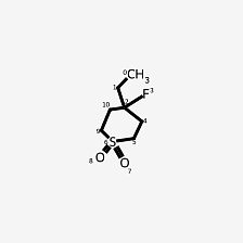 CCC1(F)CCS(=O)(=O)CC1